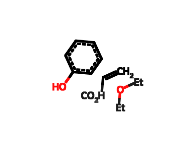 C=CC(=O)O.CCOCC.Oc1ccccc1